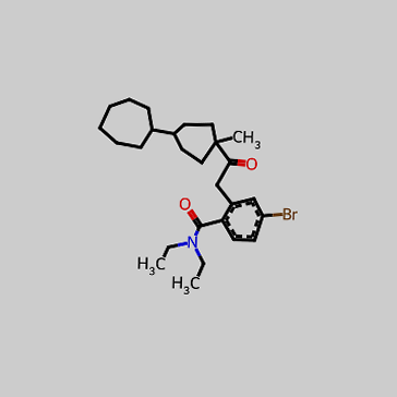 CCN(CC)C(=O)c1ccc(Br)cc1CC(=O)C1(C)CCC(C2CCCCCC2)CC1